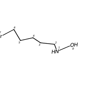 ONCCCCCBr